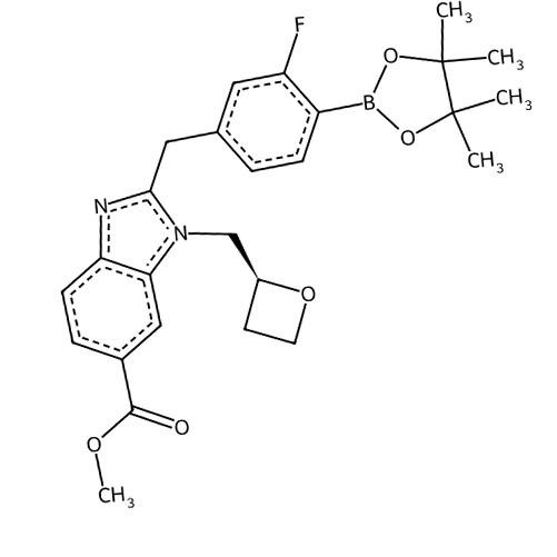 COC(=O)c1ccc2nc(Cc3ccc(B4OC(C)(C)C(C)(C)O4)c(F)c3)n(C[C@@H]3CCO3)c2c1